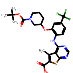 Cc1c(C(=O)O)sc2ncnc(Nc3ccc(C(F)(F)F)cc3OC3CCCN(C(=O)OC(C)(C)C)C3)c12